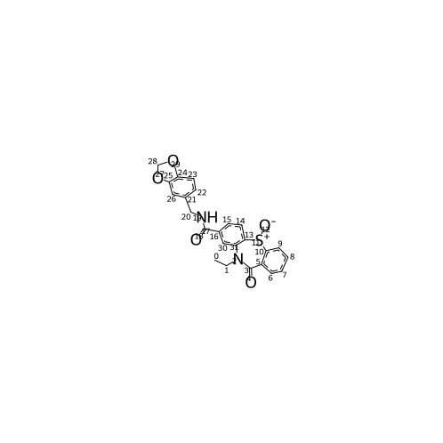 CCN1C(=O)c2ccccc2[S+]([O-])c2ccc(C(=O)NCc3ccc4c(c3)OCO4)cc21